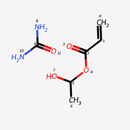 C=CC(=O)OC(C)O.NC(N)=O